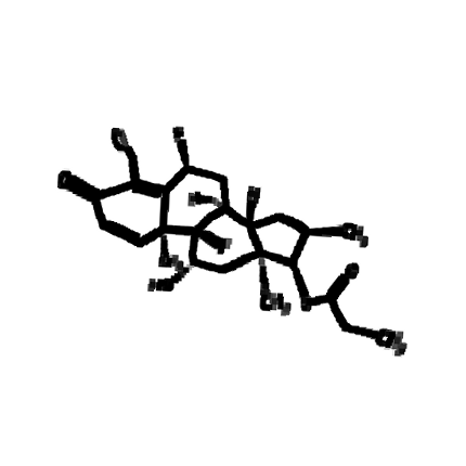 CCC(=O)O[C@@H]1[C@H](C)C[C@H]2[C@@H]3C[C@H](F)C4=C(Cl)C(=O)C=C[C@]4(C)[C@@]3(F)[C@@H](O)C[C@]12C